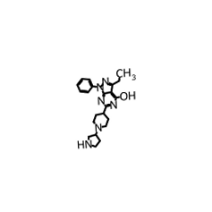 CCc1nn(-c2ccccc2)c2nc(C3CCN(C4CCNC4)CC3)nc(O)c12